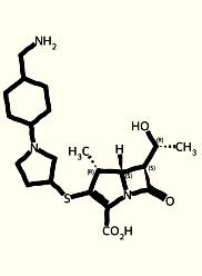 C[C@@H](O)[C@H]1C(=O)N2C(C(=O)O)=C(SC3CCN(C4CCC(CN)CC4)C3)[C@H](C)[C@H]12